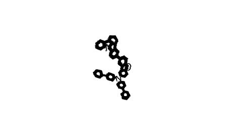 c1ccc(-c2ccc(N(c3ccc(-c4ccccc4)cc3)c3ccc4oc5ccc(-c6ccc7c(c6)c6cccc8c9ccccc9n7c86)cc5c4c3)cc2)cc1